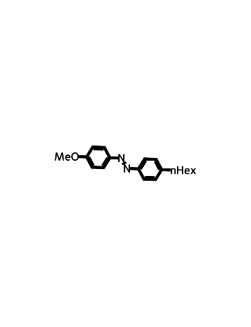 CCCCCCc1ccc(/N=N/c2ccc(OC)cc2)cc1